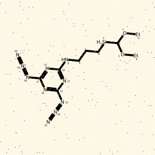 CCOC(OCC)[SiH2]CCCNc1nc(N=[N+]=[N-])nc(N=[N+]=[N-])n1